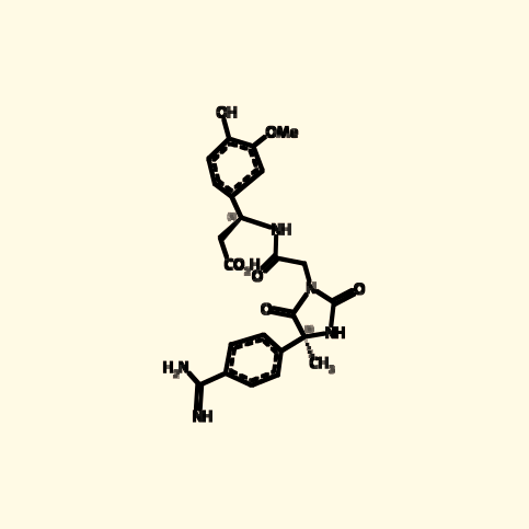 COc1cc([C@H](CC(=O)O)NC(=O)CN2C(=O)N[C@@](C)(c3ccc(C(=N)N)cc3)C2=O)ccc1O